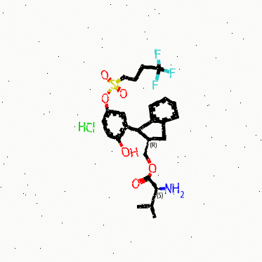 CC(C)[C@H](N)C(=O)OC[C@@H]1Cc2ccccc2C1c1cc(OS(=O)(=O)CCCC(F)(F)F)ccc1O.Cl